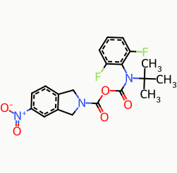 CC(C)(C)N(C(=O)OC(=O)N1Cc2ccc([N+](=O)[O-])cc2C1)c1c(F)cccc1F